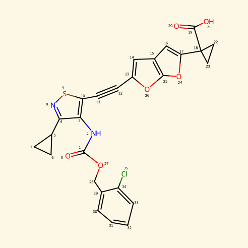 O=C(Nc1c(C2CC2)nsc1C#Cc1cc2cc(C3(C(=O)O)CC3)oc2o1)OCc1ccccc1Cl